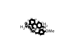 COc1ccc(Cn2nnc(-c3c(C4CCC(N)CC4)cccc3S(N)(=O)=O)n2)cc1